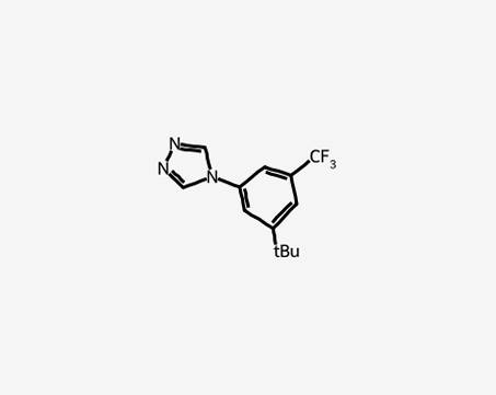 CC(C)(C)c1cc(-n2cnnc2)cc(C(F)(F)F)c1